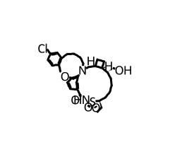 CC[C@@H]1CCCC[C@@H](CO)[C@@H]2CC[C@H]2CN2CCCCc3cc(Cl)ccc3COc3ccc(cc32)C(=O)NS1(=O)=O